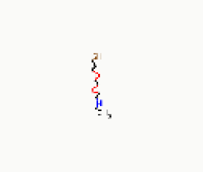 CCNCCOCCOCCCS